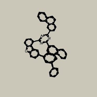 c1ccc(-c2cccc(-c3ccc4oc5cccc(-c6nc(-c7ccc8ccccc8c7)nc(-c7ccc8ccc9ccccc9c8c7)n6)c5c4c3)c2)cc1